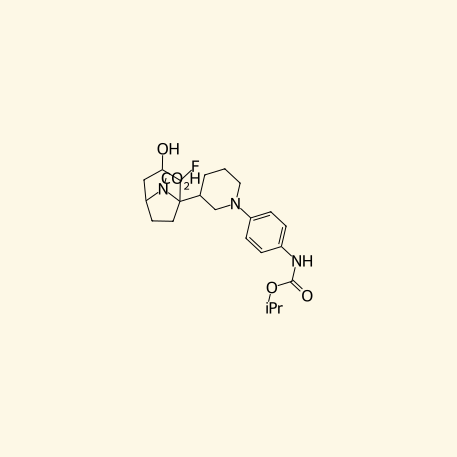 CC(C)OC(=O)Nc1ccc(N2CCCC(C34CCC(CC(O)C3F)N4C(=O)O)C2)cc1